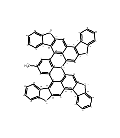 Cc1cc2c3c(c1)-c1c4c(cc5oc6ccccc6c5c4cc4oc5ccccc5c14)B3c1cc3oc4ccccc4c3c3cc4oc5ccccc5c4c-2c13